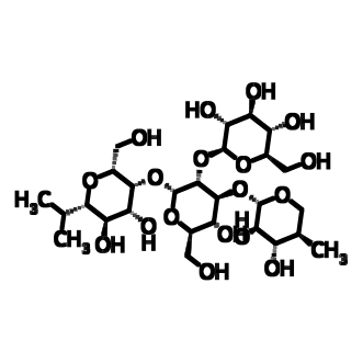 CC(C)[C@@H]1O[C@H](CO)[C@H](O[C@H]2O[C@H](CO)[C@@H](O)[C@H](O[C@@H]3OC[C@@H](C)[C@H](O)[C@H]3O)[C@H]2O[C@@H]2O[C@H](CO)[C@@H](O)[C@H](O)[C@H]2O)[C@H](O)[C@H]1O